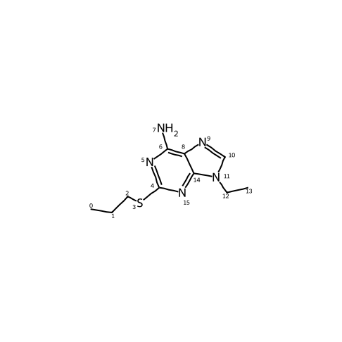 CCCSc1nc(N)c2ncn(CC)c2n1